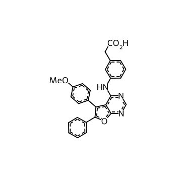 COc1ccc(-c2c(-c3ccccc3)oc3ncnc(Nc4cccc(CC(=O)O)c4)c23)cc1